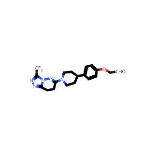 O=CCOc1ccc(C2CCN(C3=Nn4c(nnc4C(F)(F)F)CC3)CC2)cc1